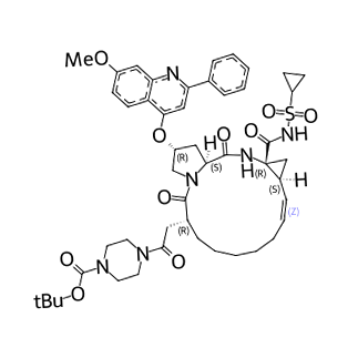 COc1ccc2c(O[C@@H]3C[C@H]4C(=O)N[C@]5(C(=O)NS(=O)(=O)C6CC6)C[C@H]5/C=C\CCCCC[C@H](CC(=O)N5CCN(C(=O)OC(C)(C)C)CC5)C(=O)N4C3)cc(-c3ccccc3)nc2c1